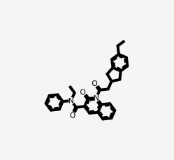 CCc1ccc2c(c1)CC(CC(=O)n1c(=O)c(C(=O)N(CC)c3ccccc3)cc3ccccc31)C2